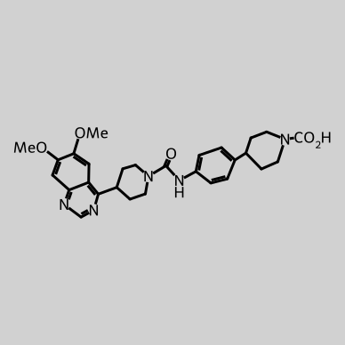 COc1cc2ncnc(C3CCN(C(=O)Nc4ccc(C5CCN(C(=O)O)CC5)cc4)CC3)c2cc1OC